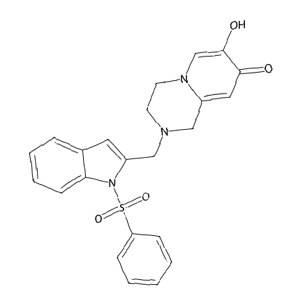 O=c1cc2n(cc1O)CCN(Cc1cc3ccccc3n1S(=O)(=O)c1ccccc1)C2